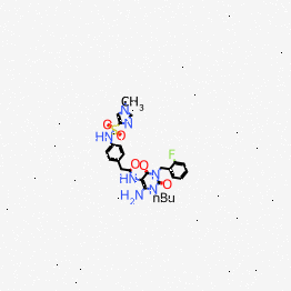 CCCCn1c(N)c(NC(=O)Cc2ccc(NS(=O)(=O)c3cn(C)cn3)cc2)c(=O)n(Cc2ccccc2F)c1=O